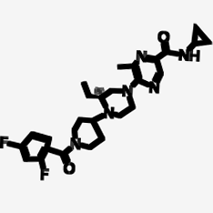 CC[C@H]1CN(c2ncc(C(=O)NC3CC3)nc2C)CCN1C1CCN(C(=O)c2ccc(F)cc2F)CC1